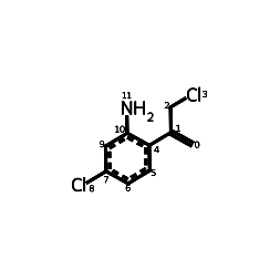 C=C(CCl)c1ccc(Cl)cc1N